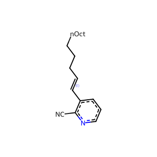 CCCCCCCCCCC/C=C/c1cccnc1C#N